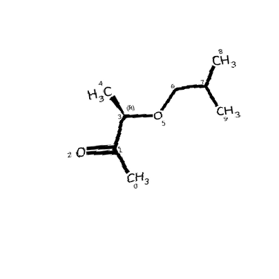 CC(=O)[C@@H](C)OCC(C)C